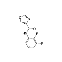 O=C(Nc1cccc(F)c1F)c1co[c]n1